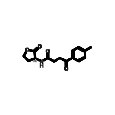 Cc1ccc(C(=O)CCC(=O)N[C@H]2CCOC2=O)cc1